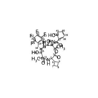 C[C@H]1OC(=O)C(C2CCC2)NC(=O)[C@H](C)[C@H](O)[C@H](Cc2c(F)c(F)c(F)c(F)c2F)NC(=O)[C@H]1NC(=O)c1ccccc1O